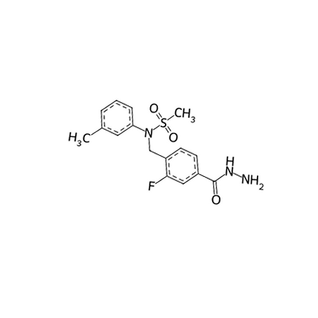 Cc1cccc(N(Cc2ccc(C(=O)NN)cc2F)S(C)(=O)=O)c1